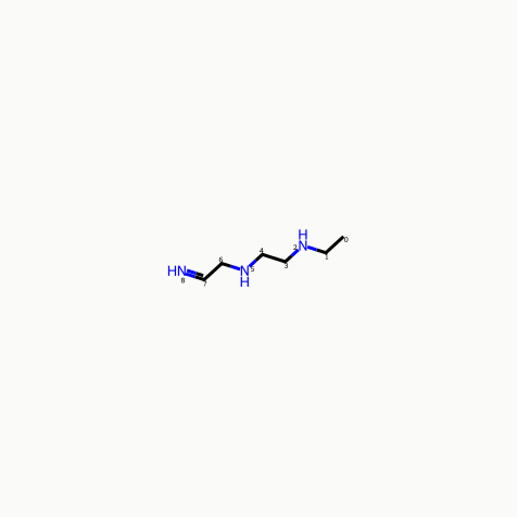 CCNCCNCC=N